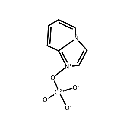 [O-][Cl+3]([O-])([O-])O[n+]1ccn2ccccc21